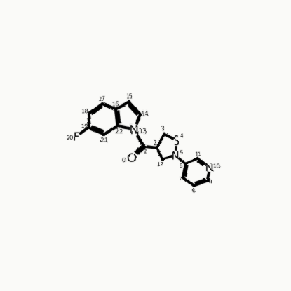 O=C(C1CSN(c2cccnc2)C1)n1ccc2ccc(F)cc21